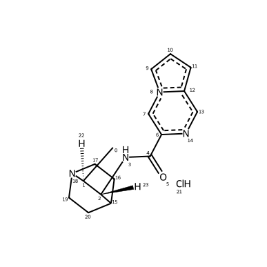 C[C@H]1[C@H](NC(=O)c2cn3cccc3cn2)C2CCN1CC2.Cl